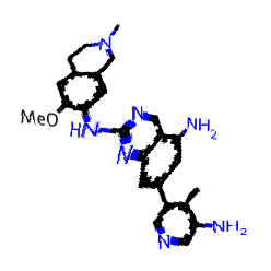 COc1cc2c(cc1Nc1ncc3c(N)cc(-c4cncc(N)c4C)cc3n1)CN(C)CC2